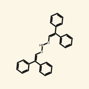 B(OC=C(c1ccccc1)c1ccccc1)OC=C(c1ccccc1)c1ccccc1